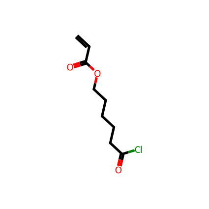 C=CC(=O)OCCCCCC(=O)Cl